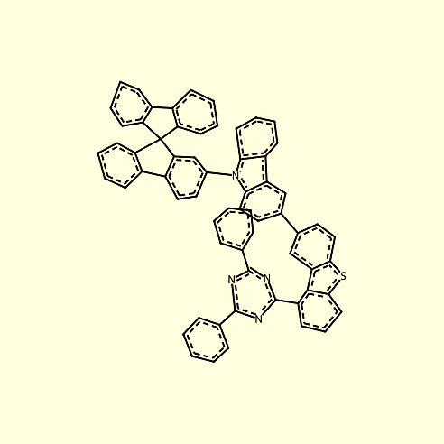 c1ccc(-c2nc(-c3ccccc3)nc(-c3cccc4sc5ccc(-c6ccc7c(c6)c6ccccc6n7-c6ccc7c(c6)C6(c8ccccc8-c8ccccc86)c6ccccc6-7)cc5c34)n2)cc1